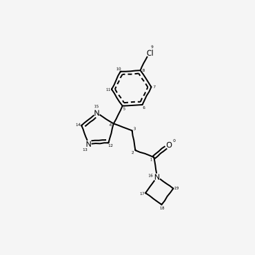 O=C(CCC1(c2ccc(Cl)cc2)C=NC=N1)N1CCC1